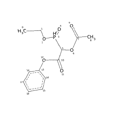 CCO[PH](=O)C(OC(C)=O)C(=O)Oc1ccccc1